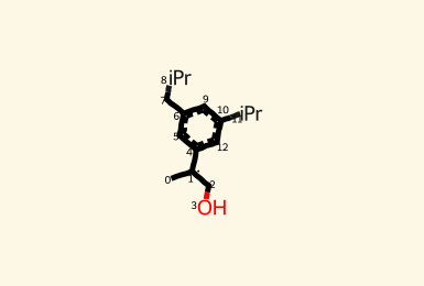 C[C](CO)c1cc(CC(C)C)cc(C(C)C)c1